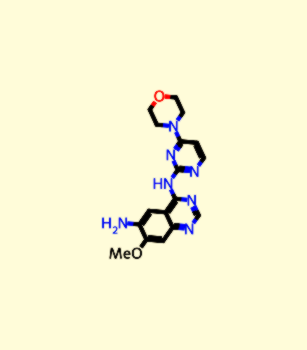 COc1cc2ncnc(Nc3nccc(N4CCOCC4)n3)c2cc1N